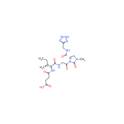 CC[C@H](C)[C@H](NC(=O)CCC(=O)O)C(=O)NCC(=O)N1C(=O)N(C)C[C@H]1C(=O)NCc1nn[nH]n1